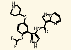 O=C(Nc1c[nH]nc1-c1cc(SC2CCNCC2)ccc1OC(F)F)c1cnn2cccnc12